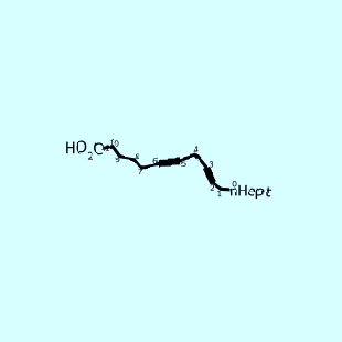 CCCCCCCCC#CCC#CCCCCC(=O)O